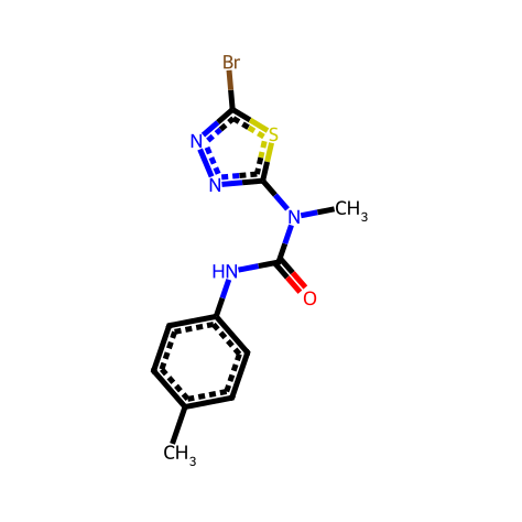 Cc1ccc(NC(=O)N(C)c2nnc(Br)s2)cc1